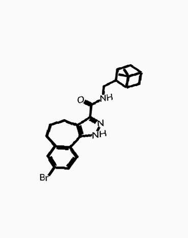 CC1(C)C2CCC(CNC(=O)c3n[nH]c4c3CCCc3cc(Br)ccc3-4)C1C2